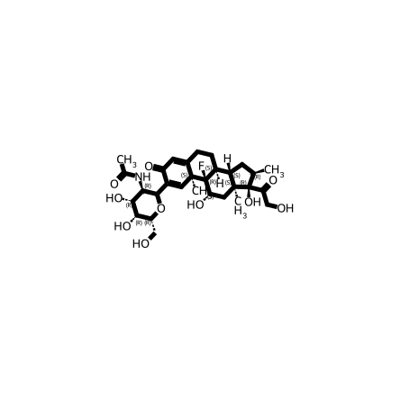 CC(=O)N[C@H]1C(C2=C[C@@]3(C)C(=CC2=O)CC[C@H]2[C@@H]4C[C@@H](C)[C@](O)(C(=O)CO)[C@@]4(C)C[C@H](O)[C@@]23F)O[C@H](CO)[C@H](O)[C@@H]1O